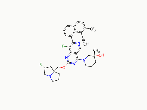 C#Cc1c(C(F)(F)F)ccc2cccc(-c3ncc4c(N5CCC[C@@](C)(O)C5)nc(OCC56CCCN5C[C@H](F)C6)nc4c3F)c12